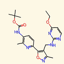 CCOc1ccnc(NCc2c(C)noc2-c2ccc(NC(=O)OC(C)(C)C)c(C)n2)n1